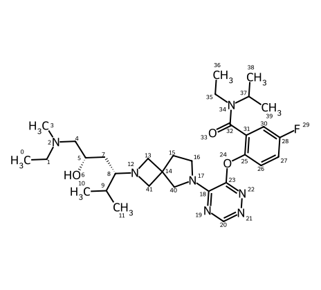 CCN(C)C[C@@H](O)C[C@@H](C(C)C)N1CC2(CCN(c3ncnnc3Oc3ccc(F)cc3C(=O)N(CC)C(C)C)C2)C1